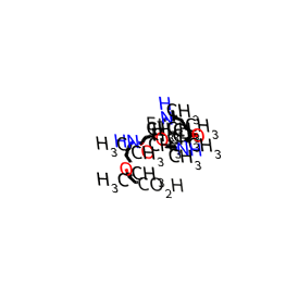 CCNC(C)(C)CC(C)(C)C(=O)C(C)(C)NC(C)(C)COC(C)(C)CC(=O)NC(C)(C)CCOC(C)(C)CC(=O)O